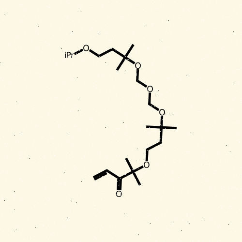 C=CC(=O)C(C)(C)OCCC(C)(C)OCOCOC(C)(C)CCOC(C)C